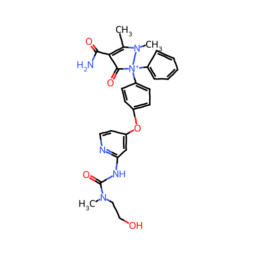 CC1=C(C(N)=O)C(=O)[N+](c2ccccc2)(c2ccc(Oc3ccnc(NC(=O)N(C)CCO)c3)cc2)N1C